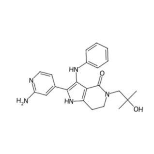 CC(C)(O)CN1CCc2[nH]c(-c3ccnc(N)c3)c(Nc3ccccc3)c2C1=O